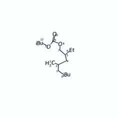 CCC(C)CC(C)CC(CC)COC(=O)OC(C)CC